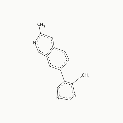 Cc1cc2ccc(-c3cncnc3C)cc2cn1